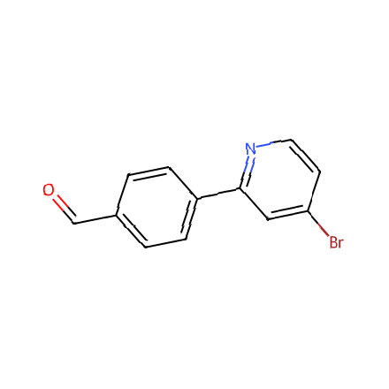 O=Cc1ccc(-c2cc(Br)ccn2)cc1